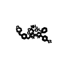 CCc1ccc(C2=NN(c3nn(Cc4ccc(CN5CCOCC5)cc4)c(=O)n3[C@@H](C)C(N)=O)C[C@H]2c2ccccc2)cc1